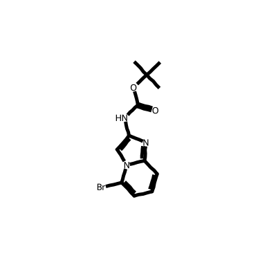 CC(C)(C)OC(=O)Nc1cn2c(Br)cccc2n1